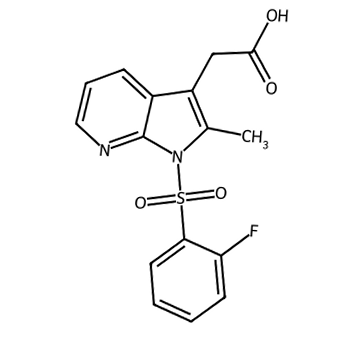 Cc1c(CC(=O)O)c2cccnc2n1S(=O)(=O)c1ccccc1F